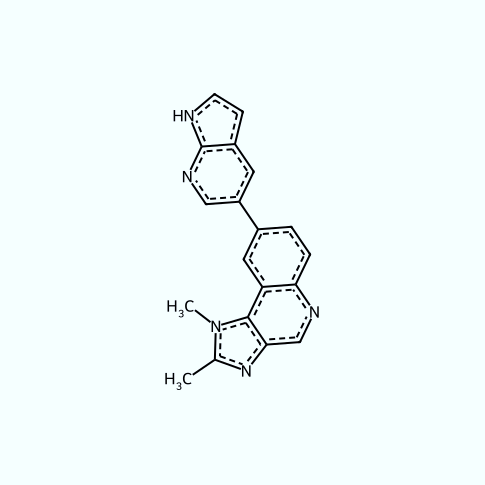 Cc1nc2cnc3ccc(-c4cnc5[nH]ccc5c4)cc3c2n1C